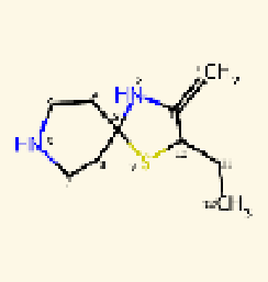 C=C1NC2(CCNCC2)SC1CC